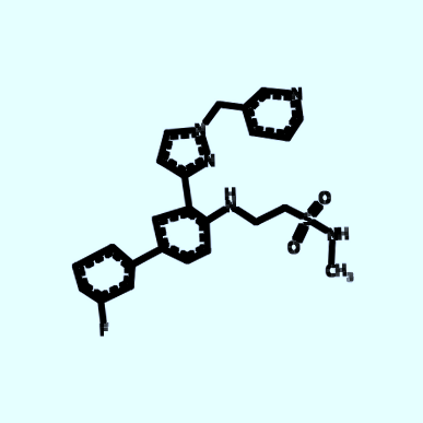 CNS(=O)(=O)CCNc1ccc(-c2cccc(F)c2)cc1-c1ccn(Cc2cccnc2)n1